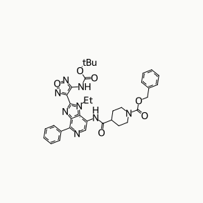 CCn1c(-c2nonc2NC(=O)OC(C)(C)C)nc2c(-c3ccccc3)ncc(NC(=O)C3CCN(C(=O)OCc4ccccc4)CC3)c21